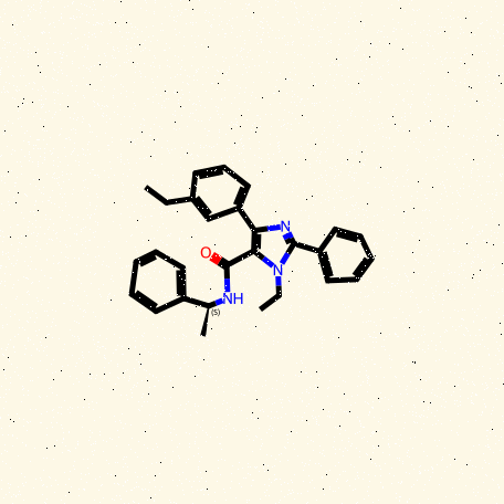 CCc1cccc(-c2nc(-c3ccccc3)n(CC)c2C(=O)N[C@@H](C)c2ccccc2)c1